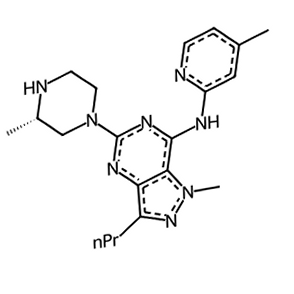 CCCc1nn(C)c2c(Nc3cc(C)ccn3)nc(N3CCN[C@@H](C)C3)nc12